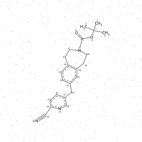 CC(C)(C)OC(=O)N1CCc2ccc(Cc3ccc(C#N)nc3)cc2CC1